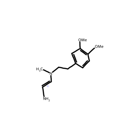 COc1ccc(CCN(C)/C=C/N)cc1OC